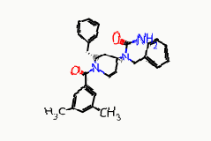 Cc1cc(C)cc(C(=O)N2CC[C@H](N(Cc3ccccc3)C(N)=O)C[C@H]2Cc2ccccc2)c1